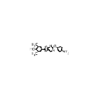 Cc1cc(-c2nc3cnc(Oc4ccc(C(F)(F)F)cc4)nc3o2)cc(C)c1O